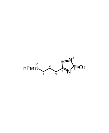 CCCCCCCCC1=NC(=O)N=C1